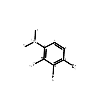 CN(C)c1ccc(Br)c(F)c1F